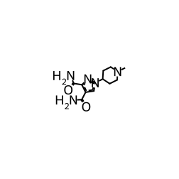 CN1CCC(n2cc(C(N)=O)c(C(N)=O)n2)CC1